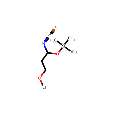 CCOCCC(N=C=S)O[Si](C)(C)C(C)(C)C